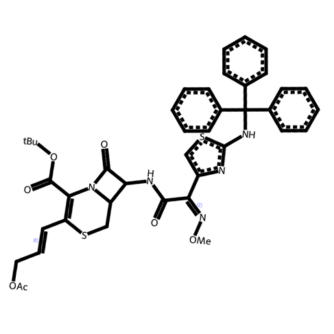 CO/N=C(\C(=O)NC1C(=O)N2C(C(=O)OC(C)(C)C)=C(/C=C/COC(C)=O)SCC12)c1csc(NC(c2ccccc2)(c2ccccc2)c2ccccc2)n1